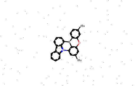 CC(C)(C)c1ccc2c(c1)Oc1cc(C(C)(C)C)cc3c1B2c1cccc2c4ccccc4n-3c12